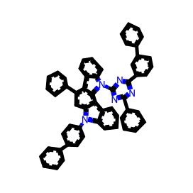 c1ccc(-c2ccc(-n3c4ccccc4c4c3cc(-c3ccccc3)c3c5ccccc5n(-c5nc(-c6ccccc6)nc(-c6cccc(-c7ccccc7)c6)n5)c34)cc2)cc1